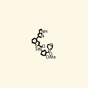 COc1ccc(NC(=O)c2cc3c(-c4cnc5[nH]ccc5c4)cccc3s2)cc1C(=O)N1CCOCC1